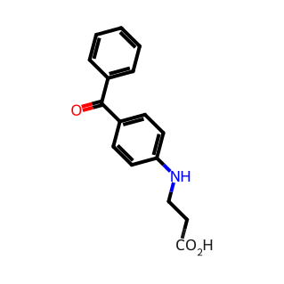 O=C(O)CCNc1ccc(C(=O)c2ccccc2)cc1